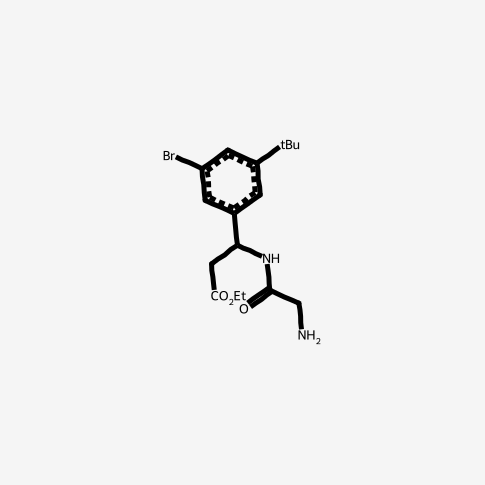 CCOC(=O)CC(NC(=O)CN)c1cc(Br)cc(C(C)(C)C)c1